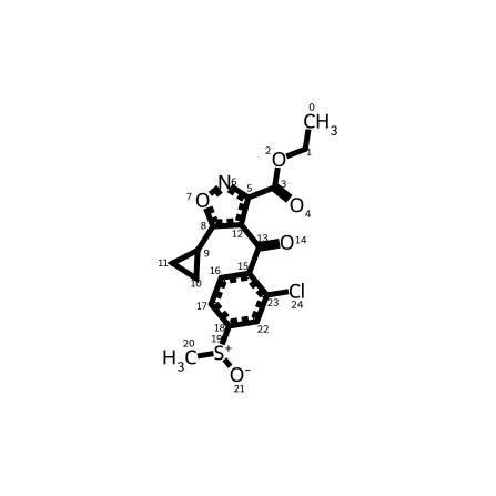 CCOC(=O)c1noc(C2CC2)c1C(=O)c1ccc([S+](C)[O-])cc1Cl